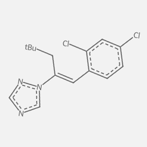 CC(C)(C)C/C(=C\c1ccc(Cl)cc1Cl)n1cncn1